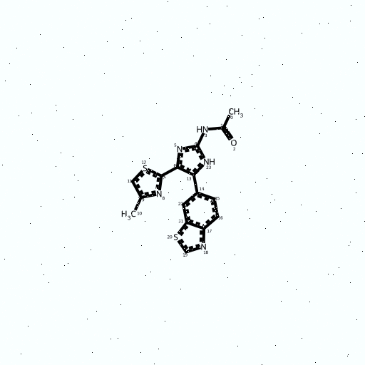 CC(=O)Nc1nc(-c2nc(C)cs2)c(-c2ccc3ncsc3c2)[nH]1